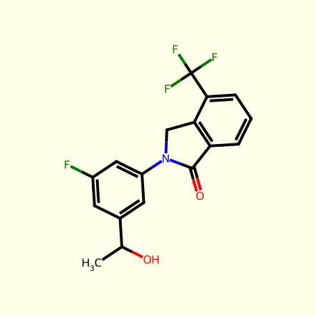 CC(O)c1cc(F)cc(N2Cc3c(cccc3C(F)(F)F)C2=O)c1